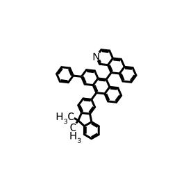 CC1(C)c2ccccc2-c2cc(-c3c4ccccc4c(-c4c5ccccc5cc5ccncc45)c4ccc(-c5ccccc5)cc34)ccc21